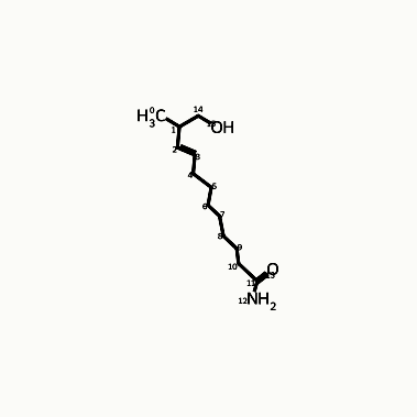 CC(C=CCCCCCCCC(N)=O)CO